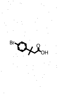 CC(C)(CC(=O)O)c1ccc(Br)cc1